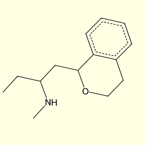 CCC(CC1OCCc2ccccc21)NC